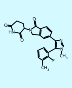 Cc1cccc(-c2c(-c3ccc4c(c3)CN(C3CCC(=O)NC3=O)C4=O)ncn2C)c1F